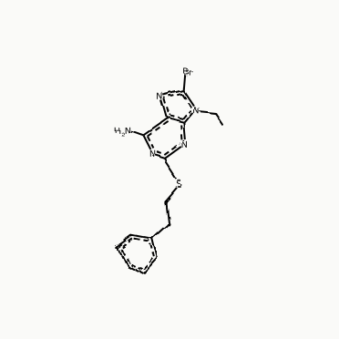 CCn1c(Br)nc2c(N)nc(SCCc3ccccc3)nc21